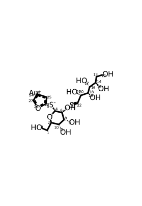 OCC1O[C@@H]([S-])[C@@H](O)[C@H](O)[C@@H]1O.OC[C@@H](O)[C@@H](O)[C@H](O)[C@@H](O)C=S.[Au+].c1ccoc1